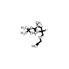 C#CCOCC(F)(F)CN(C)C(=O)OC(C)(C)C